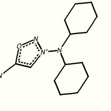 [NH-]c1c[n+](N(C2CCCCC2)C2CCCCC2)no1